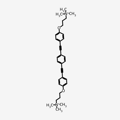 C[N+](C)(C)CCCOc1ccc(C#Cc2ccc(C#Cc3ccc(OCCC[N+](C)(C)C)cc3)cc2)cc1